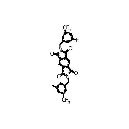 Cc1cc(Cn2c(=O)c3cc4c(=O)n(Cc5cc(F)cc(C(F)(F)F)c5)c(=O)c4cc3c2=O)cc(C(F)(F)F)c1